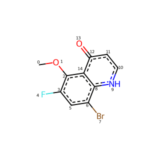 COc1c(F)cc(Br)c2[nH]ccc(=O)c12